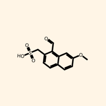 COc1ccc2ccc(CS(=O)(=O)O)c(C=O)c2c1